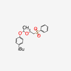 CCC(C)c1ccc(OC(C)OCCS(=O)(=O)c2ccccc2)cc1